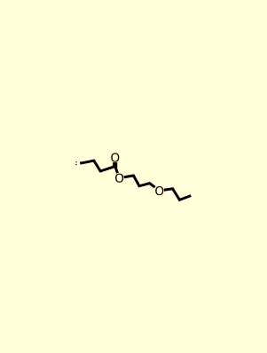 [CH]CCC(=O)OCCCOCCC